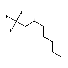 CCCCCC(C)CC(F)(F)I